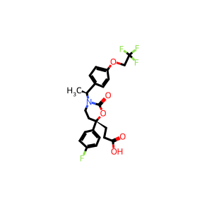 C[C@@H](c1ccc(OCC(F)(F)F)cc1)N1CC[C@@](CCC(=O)O)(c2ccc(F)cc2)OC1=O